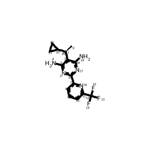 C[C@@H](c1c(N)nc(-c2cccc(C(F)(F)F)n2)nc1N)C1CC1